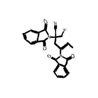 CC=C(CC(C#N)(CF)N1C(=O)c2ccccc2C1=O)N1C(=O)c2ccccc2C1=O